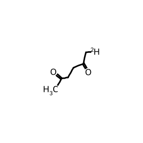 [2H]CC(=O)CCC(C)=O